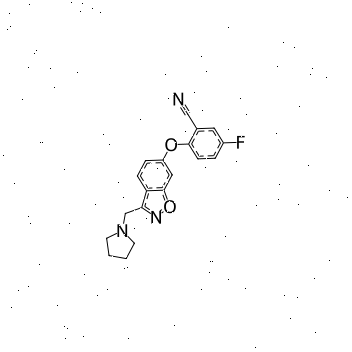 N#Cc1cc(F)ccc1Oc1ccc2c(CN3CCCC3)noc2c1